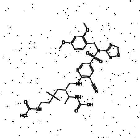 COc1ccc(CN(c2ncns2)S(=O)(=O)c2cnc(NCC(CC(C)(C)CCNC(=O)O)C(C)NC(=O)O)c(C#N)c2)c(OC)c1